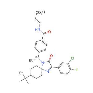 CC[C@H](c1ccc(C(=O)NCCC(=O)O)cc1)N1C(=O)C(c2ccc(F)c(Cl)c2)=NC12CCC(C(C)(C)CC)CC2